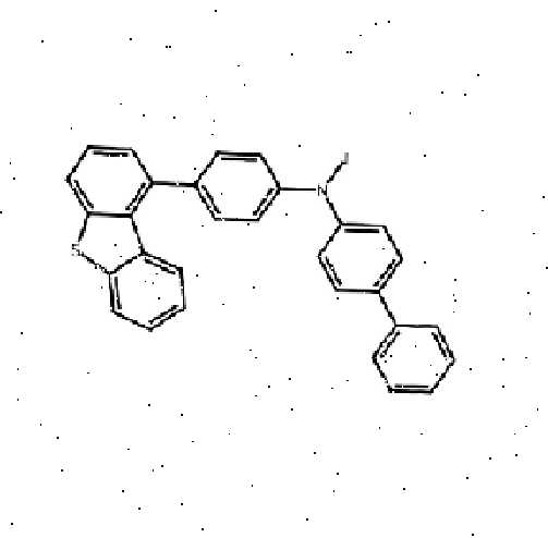 IN(c1ccc(-c2ccccc2)cc1)c1ccc(-c2cccc3sc4ccccc4c23)cc1